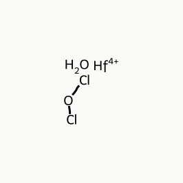 ClOCl.O.[Hf+4]